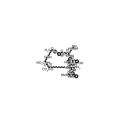 CCCCCCCCCCCCCCCCCCCC(=O)N[C@@H](CCC(=O)N[C@@H](CCC(=O)NCCCC[C@H](C)C(=O)N1CCN(c2ccc3ncn(CC(=O)N[C@@H](CCCNC(=N)N)C(=O)NC(Cc4c[nH]cn4)C(=O)N[C@@H](Cc4ccc(O)cc4)C(=O)NC(CC(C)C)C(=O)N[C@@H](CC(N)=O)C(=O)NC(Cc4c[nH]c5ccccc45)C(=O)N[C@H](C(=O)NC)C(C)C)c(=O)c3c2)CC1)C(=O)O)C(=O)O